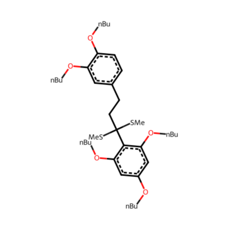 CCCCOc1cc(OCCCC)c(C(CCc2ccc(OCCCC)c(OCCCC)c2)(SC)SC)c(OCCCC)c1